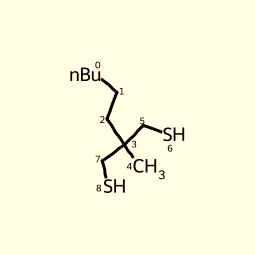 [CH2]CCCCCC(C)(CS)CS